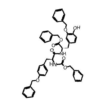 O=C(N[C@@H](Cc1ccc(OCc2ccccc2)cc1)C(=O)N[C@@H](Cc1ccc(O)c(OCc2ccccc2)c1)C(=O)OCc1ccccc1)OCc1ccccc1